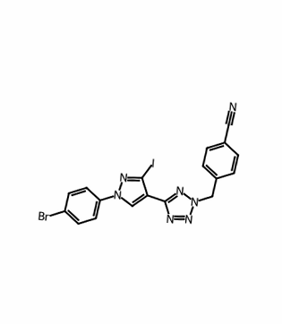 N#Cc1ccc(Cn2nnc(-c3cn(-c4ccc(Br)cc4)nc3I)n2)cc1